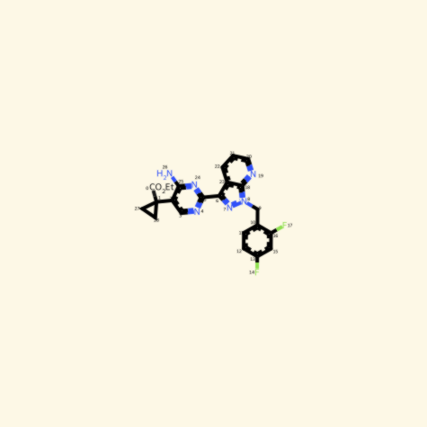 CCOC(=O)C1(c2cnc(-c3nn(Cc4ccc(F)cc4F)c4ncccc34)nc2N)CC1